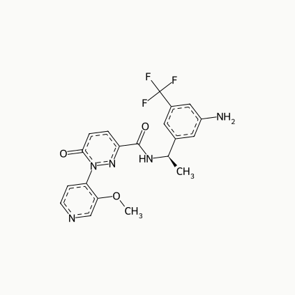 COc1cnccc1-n1nc(C(=O)N[C@H](C)c2cc(N)cc(C(F)(F)F)c2)ccc1=O